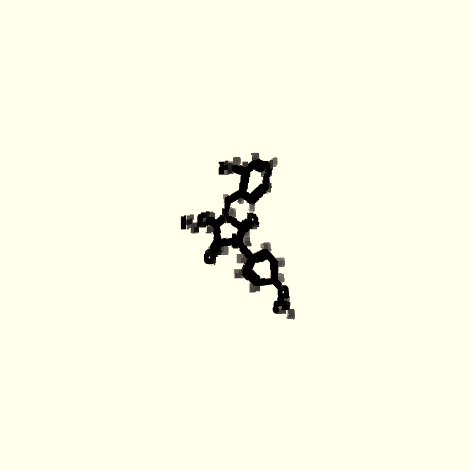 CCc1cnccc1CN1C(=O)N(c2ccc(OC(F)(F)F)cc2)C(=O)C1C